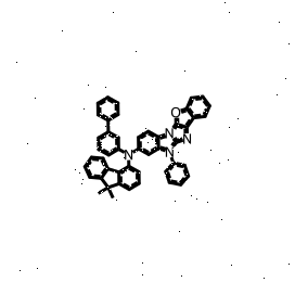 CC1(C)c2ccccc2-c2c(N(c3cccc(-c4ccccc4)c3)c3ccc4c(c3)n(-c3ccccc3)c3nc5c6ccccc6oc5n43)cccc21